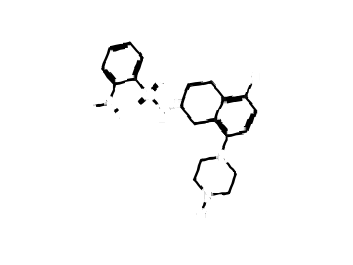 Cc1ccc(N2CCN(C)CC2)c2c1CC[C@@H](NS(=O)(=O)c1ccccc1[N+](=O)[O-])C2